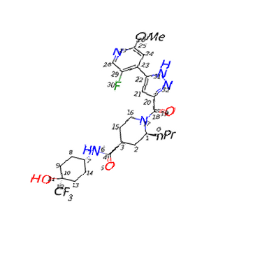 CCC[C@H]1C[C@@H](C(=O)N[C@H]2CC[C@@](O)(C(F)(F)F)CC2)CCN1C(=O)c1cc(-c2cc(OC)ncc2F)[nH]n1